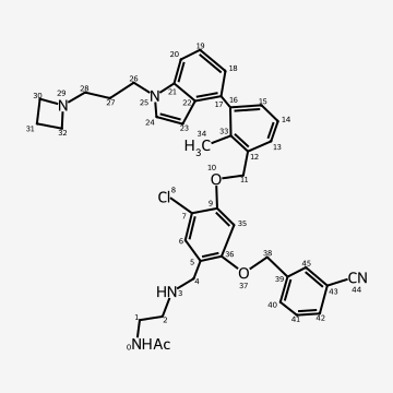 CC(=O)NCCNCc1cc(Cl)c(OCc2cccc(-c3cccc4c3ccn4CCCN3CCC3)c2C)cc1OCc1cccc(C#N)c1